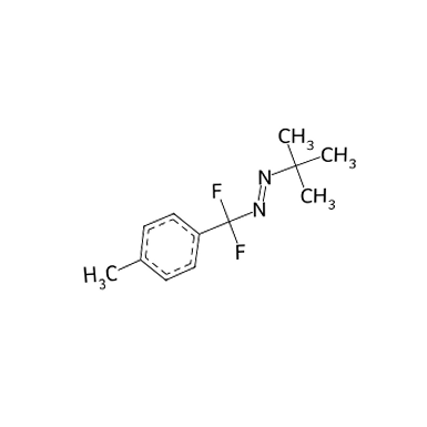 Cc1ccc(C(F)(F)N=NC(C)(C)C)cc1